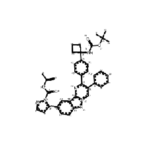 C=C(C)OC(=O)n1nccc1-c1ccc2nn3cc(-c4ccccc4)c(-c4ccc(C5(NC(=O)OC(C)(C)C)CCC5)cc4)nc3c2c1